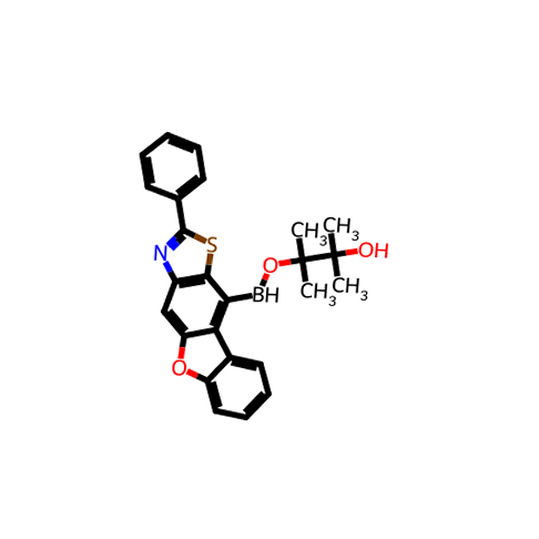 CC(C)(O)C(C)(C)OBc1c2sc(-c3ccccc3)nc2cc2oc3ccccc3c12